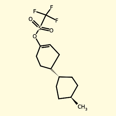 C[C@H]1CC[C@H](C2CC=C(OS(=O)(=O)C(F)(F)F)CC2)CC1